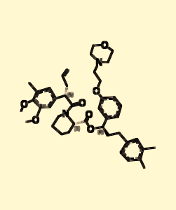 C=CC[C@H](C(=O)N1CCCC[C@H]1C(=O)O[C@H](CCc1ccc(C)c(C)c1)c1cccc(OCCN2CCOCC2)c1)c1cc(C)c(OC)c(OC)c1